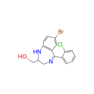 OCC1CN=C(c2ccccc2Cl)c2cc(Br)ccc2N1